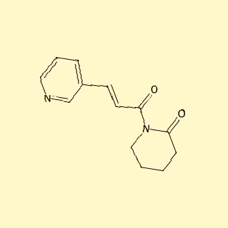 O=C(C=Cc1cccnc1)N1CCCCC1=O